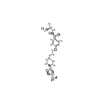 Cc1cc(OCCCC2CCN(c3nc(C(F)F)no3)CC2)ccc1C(=O)NCC(C)N